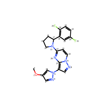 COc1cnn(-c2cnn3ccc(N4CCCC4c4cc(F)ccc4F)nc23)c1